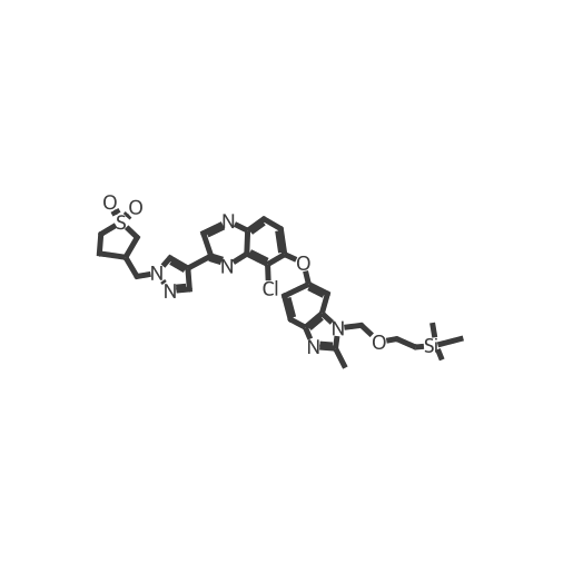 Cc1nc2ccc(Oc3ccc4ncc(-c5cnn(CC6CCS(=O)(=O)C6)c5)nc4c3Cl)cc2n1COCC[Si](C)(C)C